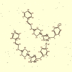 Clc1ccc(Cc2nsc(N3CCN(C/C=C/c4ccccc4)CC3)n2)cc1.Fc1ccc(Cc2nsc(N3CCN(C/C=C/c4ccccc4)CC3)n2)cc1